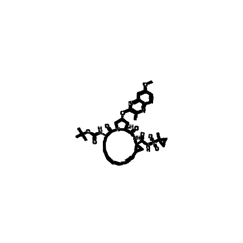 COc1ccc2nc(C)c(O[C@@H]3C[C@H]4C(=O)N[C@]5(C(=O)NS(=O)(=O)C6(C)CC6)CC5/C=C\CCCCC[C@H](NC(=O)OC(C)(C)C)C(=O)N4C3)nc2c1